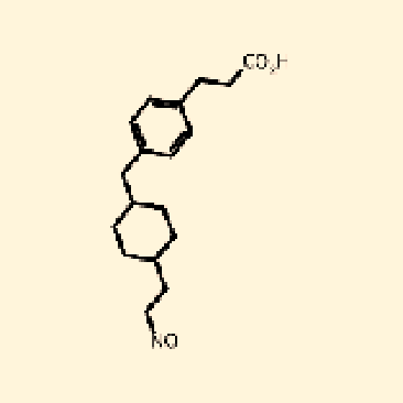 O=NCCC1CCC(Cc2ccc(CCC(=O)O)cc2)CC1